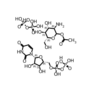 CC(=O)OC1O[C@H](CO)[C@@H](O)[C@H](O)[C@H]1N.O=P(O)(O)OP(=O)(O)O.O=c1ccn([C@@H]2O[C@H](COP(=O)(O)OP(=O)(O)O)[C@@H](O)[C@H]2O)c(=O)[nH]1